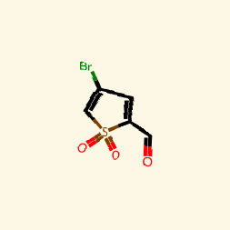 O=CC1=CC(Br)=CS1(=O)=O